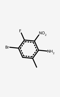 Cc1cc(Br)c(F)c([N+](=O)[O-])c1N